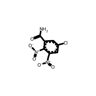 NC(=O)c1cc(Cl)cc([N+](=O)[O-])c1[N+](=O)[O-]